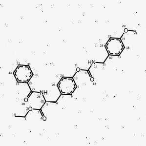 CCOC(=O)[C@H](Cc1ccc(OC(=O)NCc2ccc(OC)cc2)cc1)NC(=O)c1ccccc1